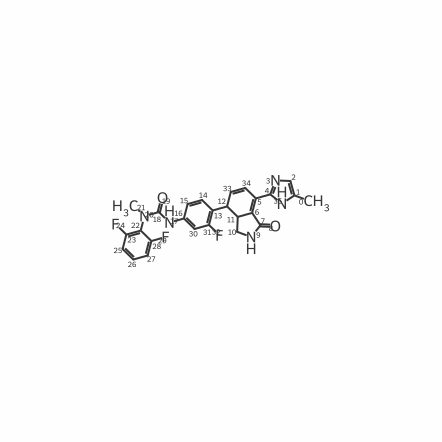 Cc1cnc(C2=C3C(=O)NCC3C(c3ccc(NC(=O)N(C)c4c(F)cccc4F)cc3F)C=C2)[nH]1